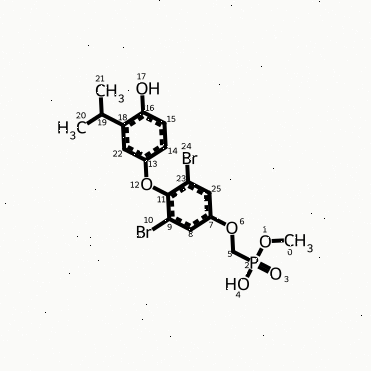 COP(=O)(O)COc1cc(Br)c(Oc2ccc(O)c(C(C)C)c2)c(Br)c1